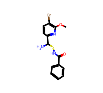 COc1nc(C(N)SNC(=O)c2ccccc2)ccc1Br